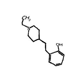 CCN1CCC(CCc2ccccc2O)CC1